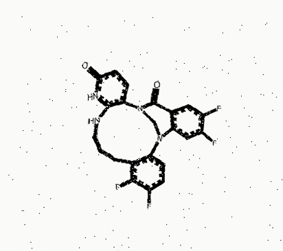 O=C1c2cc(F)c(F)cc2N2CN1c1ccc(=O)[nH]c1NCCCc1c2ccc(F)c1F